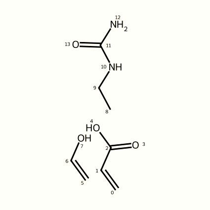 C=CC(=O)O.C=CO.CCNC(N)=O